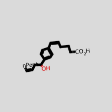 CCCCC/C=C\CC(O)c1ccc(/C=C\CCCC(=O)O)cc1